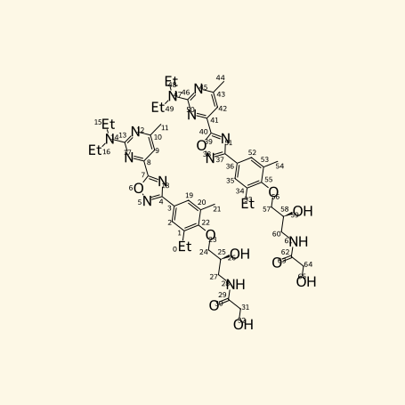 CCc1cc(-c2noc(-c3cc(C)nc(N(CC)CC)n3)n2)cc(C)c1OC[C@@H](O)CNC(=O)CO.CCc1cc(-c2noc(-c3cc(C)nc(N(CC)CC)n3)n2)cc(C)c1OC[C@@H](O)CNC(=O)CO